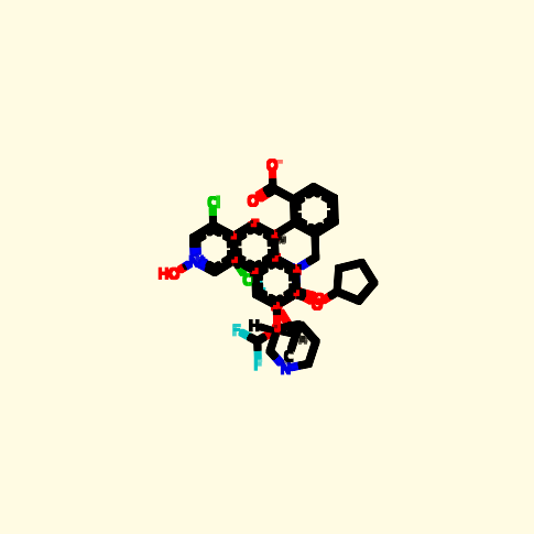 O=C([O-])c1cccc(CN(C(=O)O[C@H]2CN3CCC2CC3)c2ccccc2F)c1[C@@H](Cc1c(Cl)c[n+](O)cc1Cl)c1ccc(OC(F)F)c(OC2CCCC2)c1